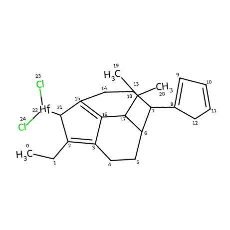 CCC1=C2CCC3C(C4=CC=CC4)CCC(=C2C3C(C)C)[CH]1[Hf]([Cl])[Cl]